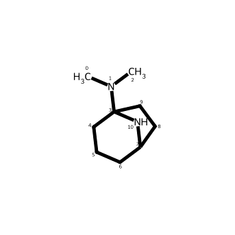 CN(C)C12CCCC(CC1)N2